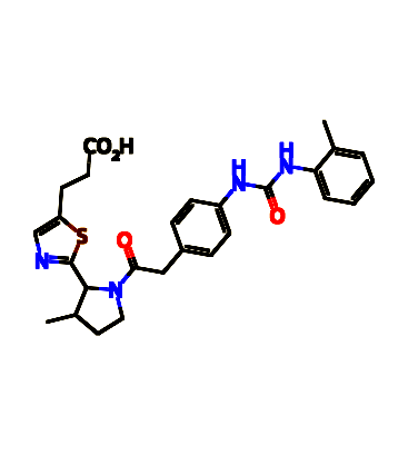 Cc1ccccc1NC(=O)Nc1ccc(CC(=O)N2CCC(C)C2c2ncc(CCC(=O)O)s2)cc1